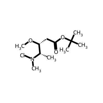 CO[C@H](CC(=O)OC(C)(C)C)[C@H](C)N(C)Cl